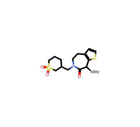 CNC1C(=O)N(CC2CCCS(=O)(=O)C2)CCc2ccsc21